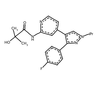 CC(C)n1cc(-c2ccnc(NC(=O)C(C)(C)O)c2)c(-c2ccc(F)cc2)n1